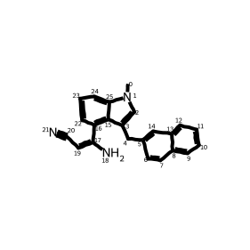 Cn1cc(Cc2ccc3ccccc3c2)c2c(/C(N)=C\C#N)cccc21